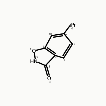 CC(C)c1ccc2c(=O)[nH]oc2c1